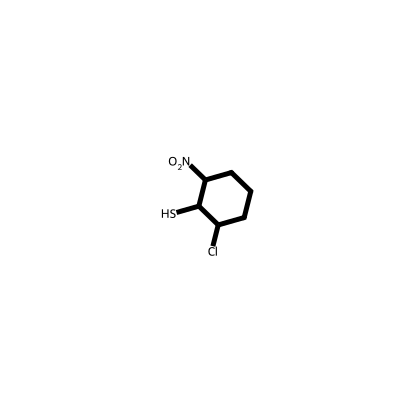 O=[N+]([O-])C1CCCC(Cl)C1S